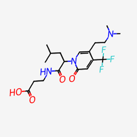 CC(C)CC(C(=O)NCCC(=O)O)n1cc(CCN(C)C)c(C(F)(F)F)cc1=O